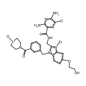 CCn1c(CNC(=O)c2nc(Cl)c(N)nc2N)[n+](Cc2cccc(C(=O)N3CC[S+]([O-])CC3)c2)c2ccc(OCCO)cc21